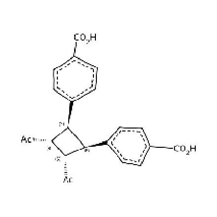 CC(=O)[C@@H]1[C@H](C(C)=O)[C@@H](c2ccc(C(=O)O)cc2)[C@H]1c1ccc(C(=O)O)cc1